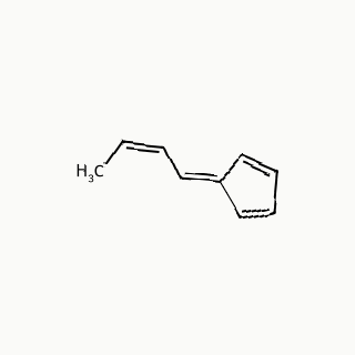 C/C=C\C=C1C=CC=C1